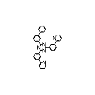 c1ccc(-c2cccc(-c3nc(-c4cccc(-c5ccccn5)c4)nc(-c4cccc(-c5ccccn5)c4)n3)c2)cc1